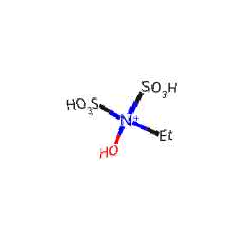 CC[N+](O)(S(=O)(=O)O)S(=O)(=O)O